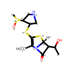 CC(O)C1C(=O)N2C(C(=O)O)=C(SC3CNCC3[S+](C)[O-])S[C@H]12